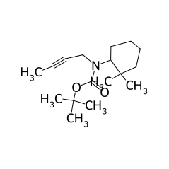 CC#CCN(C(=O)OC(C)(C)C)C1CCCCC1(C)C